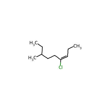 CC/C=C(/Cl)CCC(C)CC